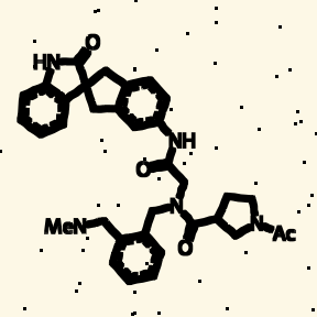 CNCc1ccccc1CN(CC(=O)Nc1ccc2c(c1)CC1(C2)C(=O)Nc2ccccc21)C(=O)C1CCN(C(C)=O)C1